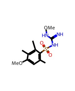 CONC(=N)NS(=O)(=O)c1c(C)cc(OC)c(C)c1C